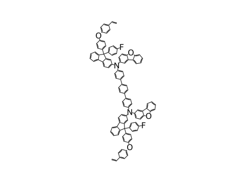 C=Cc1ccc(Oc2ccc(C3(c4ccc(F)cc4)c4ccccc4-c4ccc(N(c5ccc(-c6ccc(-c7ccc(N(c8ccc9c(c8)C(c8ccc(F)cc8)(c8ccc(Oc%10ccc(C=C)cc%10)cc8)c8ccccc8-9)c8ccc9oc%10ccccc%10c9c8)cc7)cc6)cc5)c5ccc6oc7ccccc7c6c5)cc43)cc2)cc1